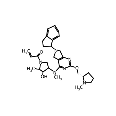 C=CC(=O)N1CC(N(C)c2nc(OC[C@@H]3CCCN3C)nc3c2CN(C2CCc4ccccc42)C3)C(O)C1C